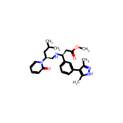 COC(=O)C[C@H](NC[C@H](CC(C)C)n1ccccc1=O)c1cccc(-c2c(C)n[nH]c2C)c1